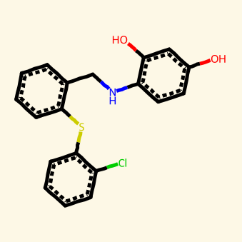 Oc1ccc(NCc2ccccc2Sc2ccccc2Cl)c(O)c1